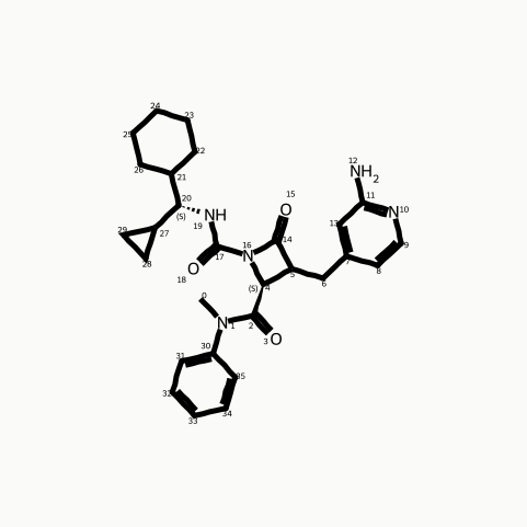 CN(C(=O)[C@@H]1C(Cc2ccnc(N)c2)C(=O)N1C(=O)N[C@@H](C1CCCCC1)C1CC1)c1ccccc1